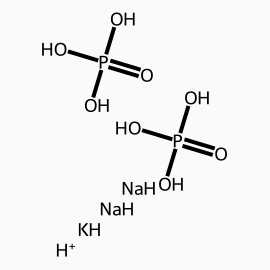 O=P(O)(O)O.O=P(O)(O)O.[H+].[KH].[NaH].[NaH]